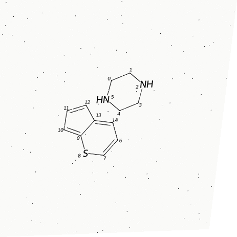 C1CNCCN1.c1csc2cccc-2c1